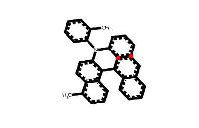 Cc1ccccc1N(c1ccccc1)c1ccc2c(C)cccc2c1-c1cccc2ccccc12